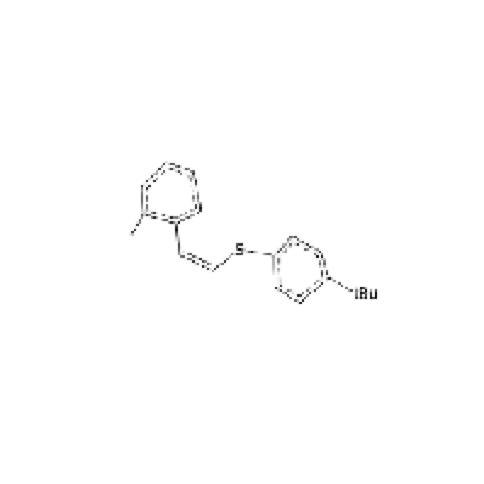 Cc1ccccc1/C=C\Sc1ccc(C(C)(C)C)cc1